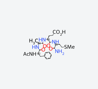 CSCC[C@H](NC(=O)[C@H](CCC(=O)O)NC(=O)[C@H](C)NC(=O)[C@H](Cc1ccccc1)NC(C)=O)C(N)=O